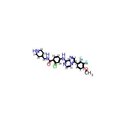 COc1ccc(-c2cnc3c(Nc4ccc(C(=O)NCC5CCNCC5)c(Cl)c4)nccn23)c(F)c1F